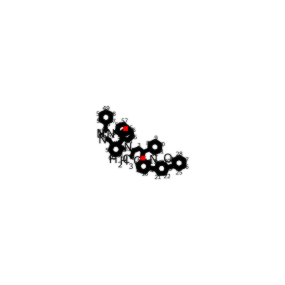 C=C/C(=C\C(=C/C)c1ccccc1-n1c2ccccc2c2ccc3c4ccccc4oc3c21)n1c2ccccc2c2c(-c3nnc(-c4ccccc4)n3-c3ccccc3)cccc21